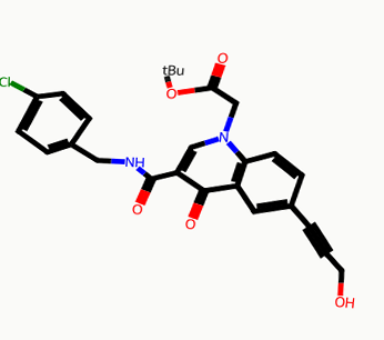 CC(C)(C)OC(=O)Cn1cc(C(=O)NCc2ccc(Cl)cc2)c(=O)c2cc(C#CCO)ccc21